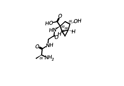 C[C@H](N)C(=O)NCC(=O)N[C@@]1(C(=O)O)C[C@H](O)[C@H]2C[C@H]21